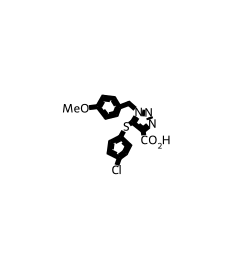 COc1ccc(Cn2nnc(C(=O)O)c2Sc2ccc(Cl)cc2)cc1